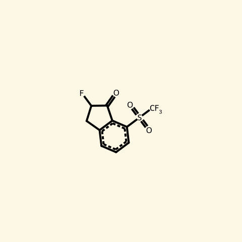 O=C1c2c(cccc2S(=O)(=O)C(F)(F)F)CC1F